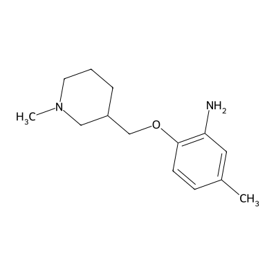 Cc1ccc(OCC2CCCN(C)C2)c(N)c1